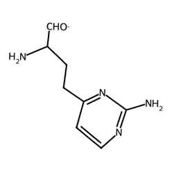 Nc1nccc(CCC(N)[C]=O)n1